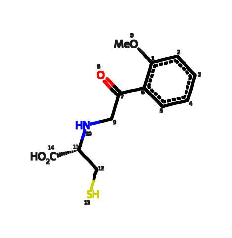 COc1ccccc1C(=O)CN[C@H](CS)C(=O)O